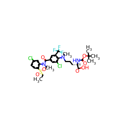 CCS(=O)(=O)c1ccc(Cl)cc1N(C)C(=O)c1cc(Cl)c(N(C)CCC[C@H](NC(=O)OC(C)(C)C)C(=O)O)c(C(F)(F)F)c1